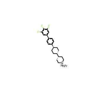 CCC[Si@H]1CC[C@H]([C@H]2CC[C@H](c3ccc(-c4cc(F)c(F)c(F)c4)cc3)CC2)CC1